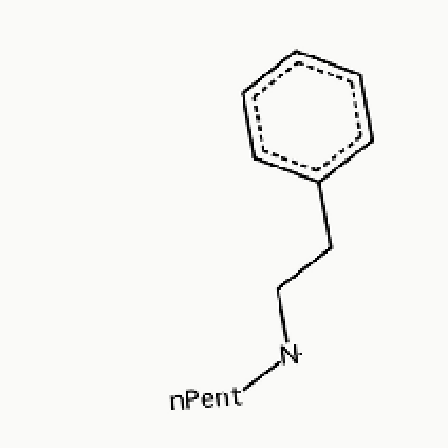 CCCCC[N]CCc1ccccc1